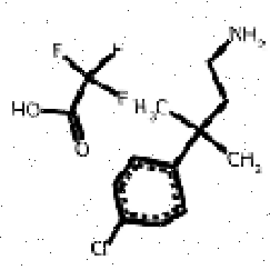 CC(C)(CCN)c1ccc(Cl)cc1.O=C(O)C(F)(F)F